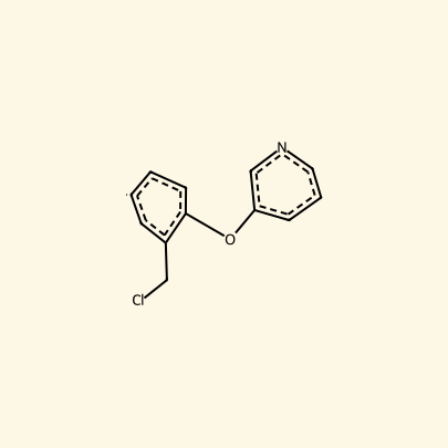 ClCc1c[c]ccc1Oc1cccnc1